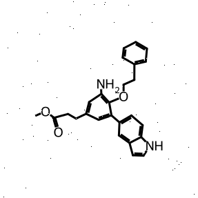 COC(=O)CCc1cc(N)c(OCCc2ccccc2)c(-c2ccc3[nH]ccc3c2)c1